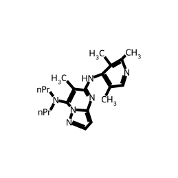 CCCN(CCC)c1c(C)c(Nc2c(C)cnc(C)c2C)nc2ccnn12